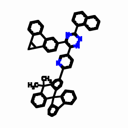 CC1(C)c2ccccc2C2(c3ccccc3-c3ccccc32)c2ccc(-c3ccc(-c4nnc(-c5cccc6ccccc56)nc4-c4ccc5c(c4)-c4ccccc4C4CC54)cn3)cc21